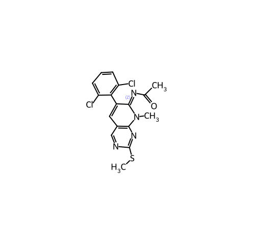 CSc1ncc2cc(-c3c(Cl)cccc3Cl)/c(=N/C(C)=O)n(C)c2n1